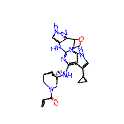 C=CC(=O)N1CCC[C@@H](Nc2nc(Nc3c[nH]nc3C3CCO3)nc3[nH]cc(C4CC4)c23)C1